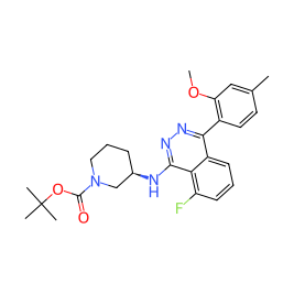 COc1cc(C)ccc1-c1nnc(N[C@@H]2CCCN(C(=O)OC(C)(C)C)C2)c2c(F)cccc12